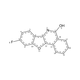 Oc1nc2c3ccc(F)cc3oc2c2ccccc12